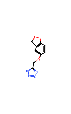 [c]1cc2c(cc1OCc1nnn[nH]1)COO2